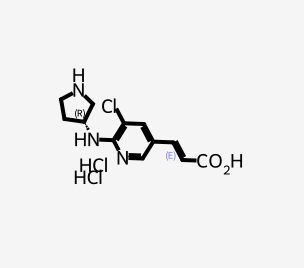 Cl.Cl.O=C(O)/C=C/c1cnc(N[C@@H]2CCNC2)c(Cl)c1